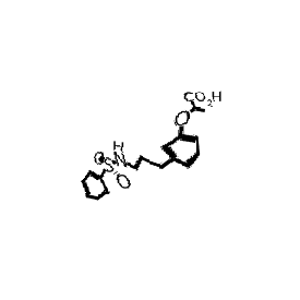 CC(Oc1cccc(CCCNS(=O)(=O)c2ccccc2)c1)C(=O)O